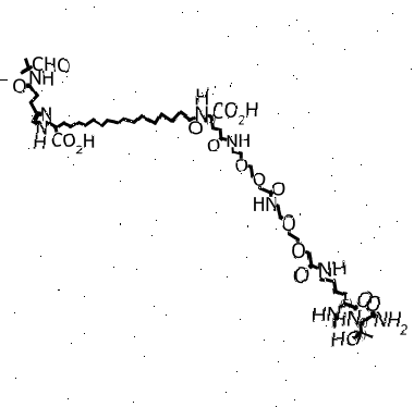 C[C@@H](O)[C@H](NC(=O)[C@H](CCCCNC(=O)COCCOCCNC(=O)COCCOCCNC(=O)CC[C@H](NC(=O)CCCCCCCCCCCCCCCC(C(=O)O)c1nc(CCC(=O)NC(C)(C)C=O)c[nH]1)C(=O)O)NI)C(N)=O